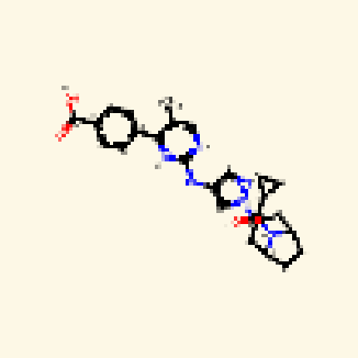 Cc1cnc(Nc2cnn(C3CC4CCC(C3)N4C(=O)C3CC3)c2)nc1-c1ccc(C(=O)O)cc1